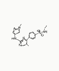 CCNS(=O)(=O)c1ccc(-c2nc(Nc3cnn(C)c3)ncc2C)cc1